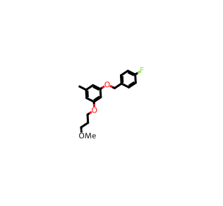 COCCCOc1cc(C)cc(OCc2ccc(F)cc2)c1